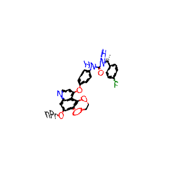 CCCOc1cc2nccc(Oc3ccc(NC(=O)N[C@H](C)c4ccc(F)cc4)cc3)c2c2c1OCCO2